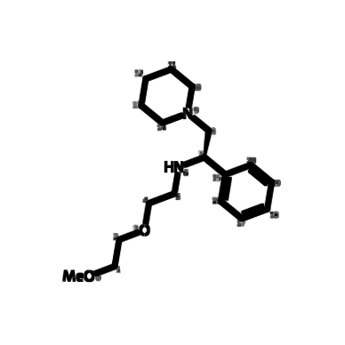 COCCOCCN[C@@H](CN1CCCCC1)c1ccccc1